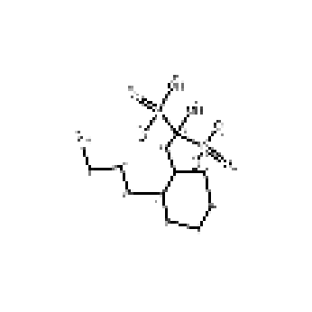 O=P(O)(O)C(O)(CC1CCCCC1CCCS)P(=O)(O)O